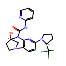 O=C(Nc1ccccn1)N1c2nc(N3CCC[C@H]3C(F)(F)F)ccc2N2CC[C@@]1(O)C2